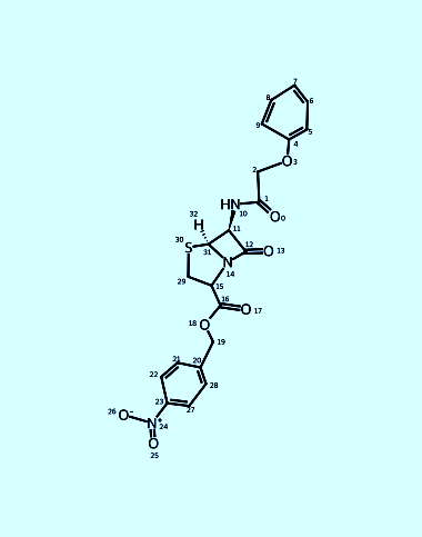 O=C(COc1ccccc1)N[C@H]1C(=O)N2C(C(=O)OCc3ccc([N+](=O)[O-])cc3)CS[C@@H]12